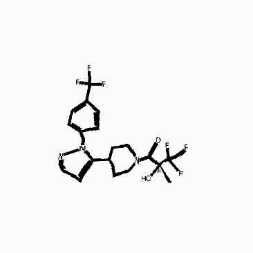 C[C@@](O)(C(=O)N1CCC(c2ccnn2-c2ccc(C(F)(F)F)cc2)CC1)C(F)(F)F